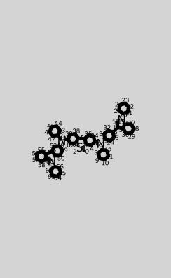 C[Si]1(C)c2cc(N(c3ccccc3)c3ccc(-c4cn(-c5ccccc5)c5ccccc45)cc3)ccc2-c2ccc(N(c3ccccc3)c3ccc4c(c3)c3ccccc3n4-c3ccccc3)cc21